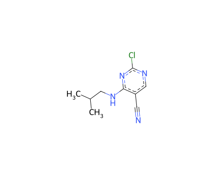 CC(C)CNc1nc(Cl)ncc1C#N